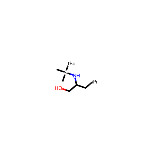 CC(C)CC(CO)N[Si](C)(C)C(C)(C)C